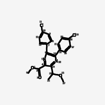 COC(=O)c1nc(-c2ccc(Cl)cc2)c(-c2ccc(Cl)cc2)nc1C(C)OC